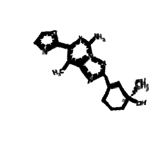 Cc1c(-c2ncco2)nc(N)n2nc(C3CCC[C@](C)(O)C3)nc12